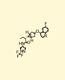 CCC(C(=O)Nc1cnn(C(F)(F)F)c1)[C@@H]1[C@@H]2C[C@@H](Oc3ccnc4ccc(F)cc34)C[C@@H]21